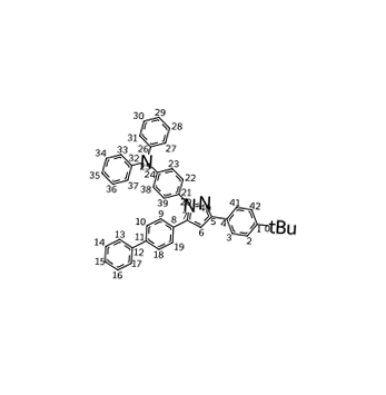 CC(C)(C)c1ccc(-c2cc(-c3ccc(-c4ccccc4)cc3)n(-c3ccc(N(c4ccccc4)c4ccccc4)cc3)n2)cc1